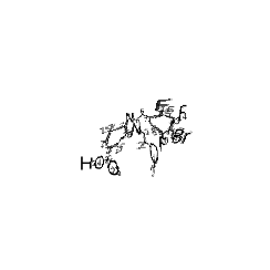 COCCn1c(Cc2cc(F)c(Br)c(F)c2F)nc2ccc(C(=O)O)cc21